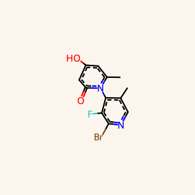 Cc1cnc(Br)c(F)c1-n1c(C)cc(O)cc1=O